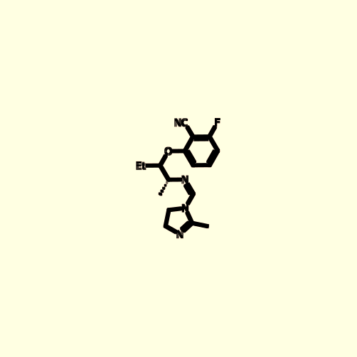 CCC(Oc1cccc(F)c1C#N)[C@@H](C)/N=C\N1CCN=C1C